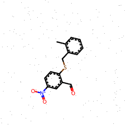 Cc1ccccc1CSc1ccc([N+](=O)[O-])cc1C=O